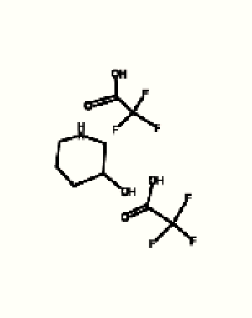 O=C(O)C(F)(F)F.O=C(O)C(F)(F)F.OC1CCCNC1